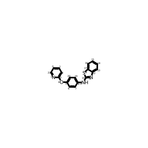 c1ccc(Oc2ccc(Nc3nc4ccccc4s3)cc2)nc1